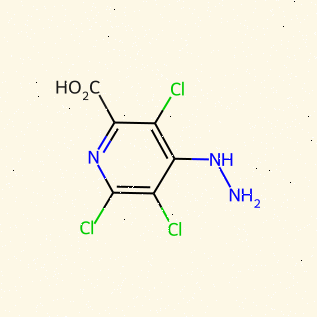 NNc1c(Cl)c(Cl)nc(C(=O)O)c1Cl